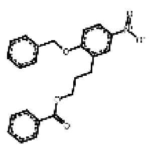 O=C(OCCCc1cc([N+](=O)[O-])ccc1OCc1ccccc1)c1ccccc1